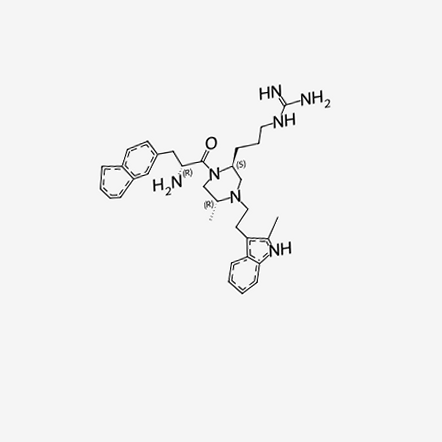 Cc1[nH]c2ccccc2c1CCN1C[C@H](CCCNC(=N)N)N(C(=O)[C@H](N)Cc2ccc3ccccc3c2)C[C@H]1C